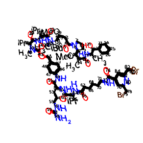 CC[C@H](C)[C@@H]([C@@H](CC(=O)N1CCC[C@H]1[C@H](OC)[C@@H](C)C(=O)N[C@H](C)[C@@H](O)c1ccccc1)OC)N(C)C(=O)[C@@H](NC(=O)[C@H](C(C)C)N(C)C(=O)OCc1ccc(NC(=O)[C@H](CCCNC(N)=O)NC(=O)[C@@H](NC(=O)CCCCCNC(=O)c2cc(CBr)nc(CBr)c2)C(C)C)cc1)C(C)C